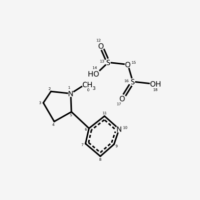 CN1CCCC1c1cccnc1.O=S(O)OS(=O)O